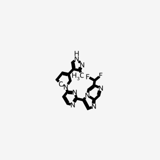 Cc1n[nH]cc1C1=CCCN(c2ccnc(-c3cnc4cnc(C(F)F)cn34)n2)C1